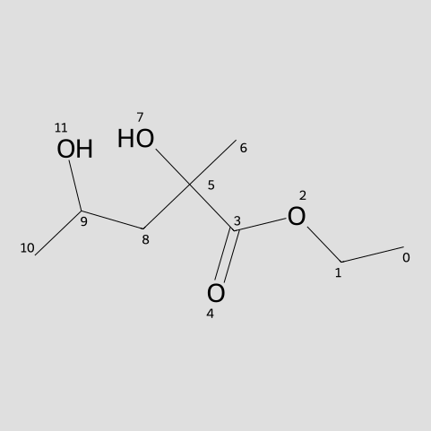 CCOC(=O)C(C)(O)CC(C)O